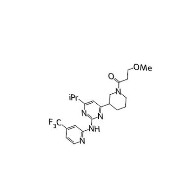 COCCC(=O)N1CCCC(c2cc(C(C)C)nc(Nc3cc(C(F)(F)F)ccn3)n2)C1